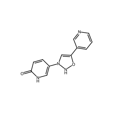 O=c1ccc(N2C=C(c3cccnc3)ON2)c[nH]1